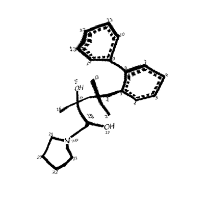 CC(C)(c1ccccc1-c1ccccc1)C(C)(O)C(O)N1CCCC1